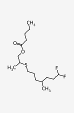 CCCCC(=O)OCC(C)SCCCC(C)CCC(F)F